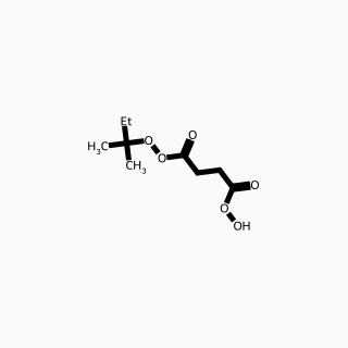 CCC(C)(C)OOC(=O)CCC(=O)OO